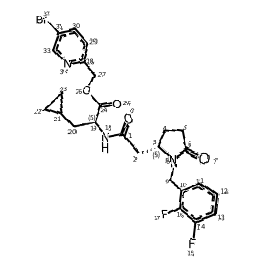 O=C(C[C@@H]1CCC(=O)N1Cc1cccc(F)c1F)N[C@@H](CC1CC1)C(=O)OCc1ccc(Br)cn1